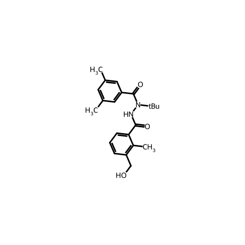 Cc1cc(C)cc(C(=O)N(NC(=O)c2cccc(CO)c2C)C(C)(C)C)c1